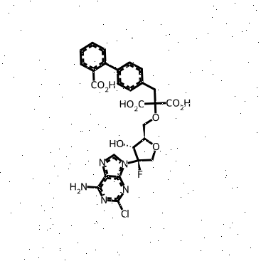 Nc1nc(Cl)nc2c1ncn2[C@@]1(F)CO[C@H](COC(Cc2ccc(-c3ccccc3C(=O)O)cc2)(C(=O)O)C(=O)O)[C@H]1O